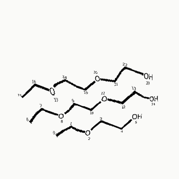 CCOCCO.CCOCCOCCO.CCOCCOCCO